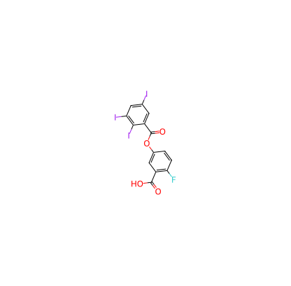 O=C(O)c1cc(OC(=O)c2cc(I)cc(I)c2I)ccc1F